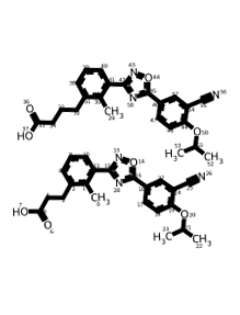 Cc1c(CCC(=O)O)cccc1-c1noc(-c2ccc(OC(C)C)c(C#N)c2)n1.Cc1c(CCCC(=O)O)cccc1-c1noc(-c2ccc(OC(C)C)c(C#N)c2)n1